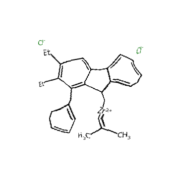 CCc1cc2c(c(C3=CC=CC3)c1CC)[CH]([Zr+2]=[C](C)C)c1ccccc1-2.[Cl-].[Cl-]